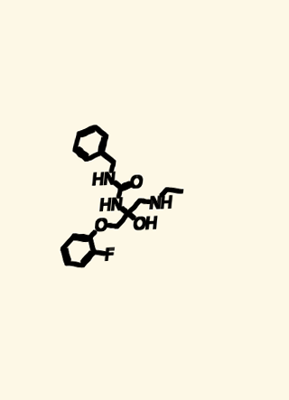 CCNCC(O)(COc1ccccc1F)NC(=O)NCc1ccccc1